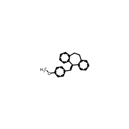 COc1ccc(C=C2c3ccccc3CCc3ccccc32)cc1